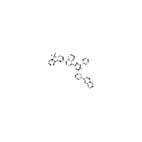 CC1(C)c2ccccc2-c2cc(-c3ccc(-c4cc(-c5cccc(-c6ccc7ccccc7c6)c5)nc(-c5ccccc5)n4)c4ccccc34)ccc21